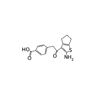 Nc1sc2c(c1C(=O)Cc1ccc(C(=O)O)cc1)CCC2